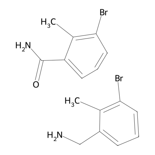 Cc1c(Br)cccc1C(N)=O.Cc1c(Br)cccc1CN